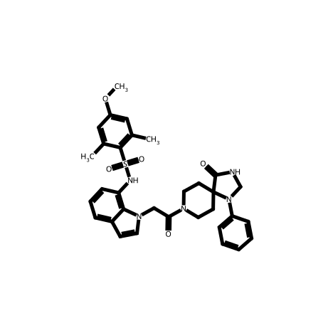 COc1cc(C)c(S(=O)(=O)Nc2cccc3ccn(CC(=O)N4CCC5(CC4)C(=O)NCN5c4ccccc4)c23)c(C)c1